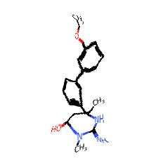 CCOc1cccc(-c2cccc(C3(C)CC(O)N(C)C(=N)N3)c2)c1